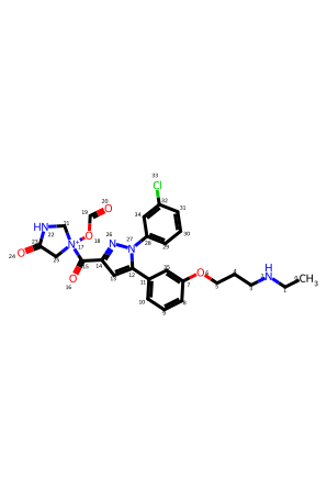 CCNCCCOc1cccc(-c2cc(C(=O)[N+]3(OC=O)CNC(=O)C3)nn2-c2cccc(Cl)c2)c1